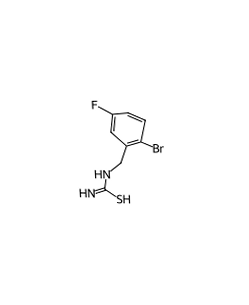 N=C(S)NCc1cc(F)ccc1Br